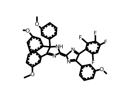 COc1cccc(C2=NC(=C3N=C(c4cccc(OC)c4)C(c4cccc(OC)c4)(c4cccc(OC)c4)N3)N=C2c2c(F)cc(F)c(F)c2F)c1